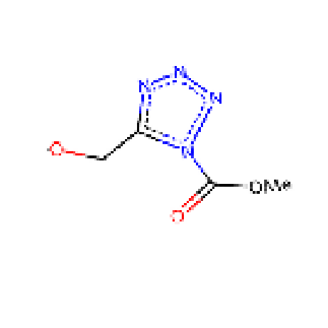 COC(=O)n1nnnc1C[O]